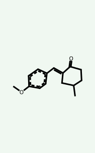 COc1ccc(C=C2CC(C)CCC2=O)cc1